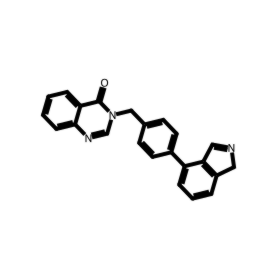 O=c1c2ccccc2ncn1Cc1ccc(-c2cccc3c2C=NC3)cc1